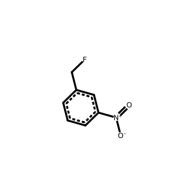 O=[N+]([O-])c1cccc(CF)c1